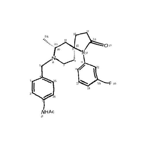 CC(=O)Nc1ccc(CN2CC[C@@]3(CCC(=O)N3c3cccc(F)c3)C[C@H]2C)cc1